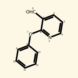 O=[C]c1cccnc1Oc1ccccc1